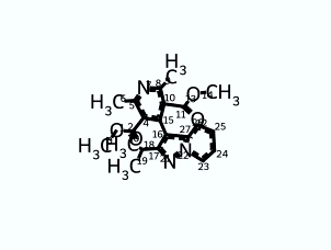 COC(=O)c1c(C)nc(C)c(C(=O)OC)c1-c1c(C(C)C)nn2ccccc12